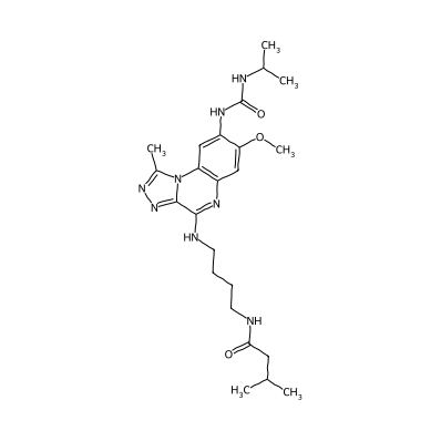 COc1cc2nc(NCCCCNC(=O)CC(C)C)c3nnc(C)n3c2cc1NC(=O)NC(C)C